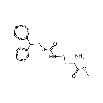 COC(=O)[C@@H](N)CCNC(=O)OCC1c2ccccc2-c2ccccc21